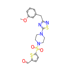 COc1cccc(Cc2nsc(N3CCN(S(=O)(=O)c4ccc(C=O)s4)CC3)n2)c1